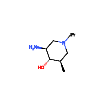 CC(C)N1C[C@@H](C)[C@H](O)[C@@H](N)C1